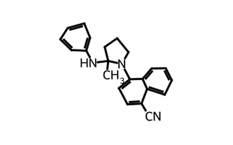 CC1(Nc2ccccc2)CCCN1c1ccc(C#N)c2ccccc12